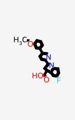 CCOc1cccc(-c2ccc(-c3cc(C(=O)O)c4cc(F)ccc4n3)nc2)c1